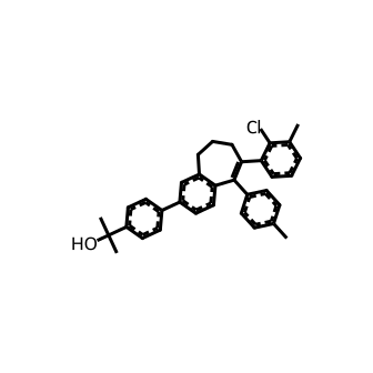 Cc1ccc(C2=C(c3cccc(C)c3Cl)CCCc3cc(-c4ccc(C(C)(C)O)cc4)ccc32)cc1